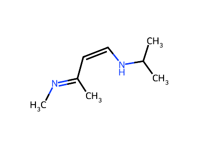 C/N=C(C)/C=C\NC(C)C